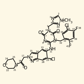 Cn1cnc(Cn2c(=O)nc(Nc3cc4cn(CC(=O)N5CCOCC5)nc4cc3Cl)n(Cc3cc(Cl)c(F)cc3F)c2=O)n1